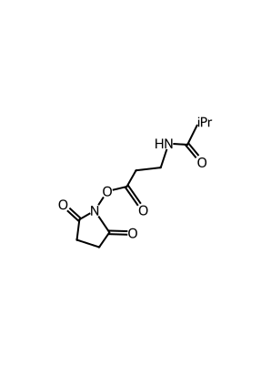 CC(C)C(=O)NCCC(=O)ON1C(=O)CCC1=O